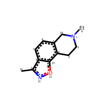 CCN1CCc2c(ccc3c(C)noc23)C1